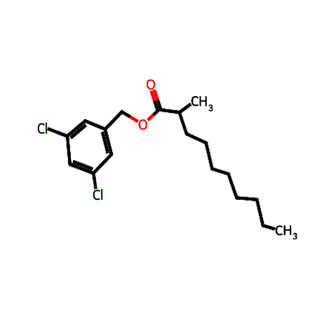 CCCCCCCCC(C)C(=O)OCc1cc(Cl)cc(Cl)c1